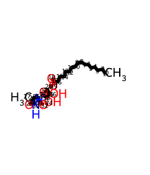 CCCCCCCC/C=C\CCCCCCCC(=O)OC[C@H]1O[C@@H](n2cc(C)c(=O)[nH]c2=O)[C@@H](O)[C@@H]1O